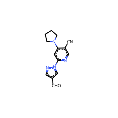 N#Cc1cnc(-n2cc(C=O)cn2)cc1N1CCCC1